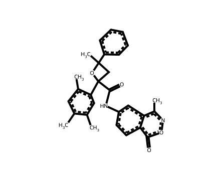 Cc1cc(C)c(C2(C(=O)Nc3ccc4c(=O)onc(C)c4c3)CC(C)(c3ccccc3)O2)cc1C